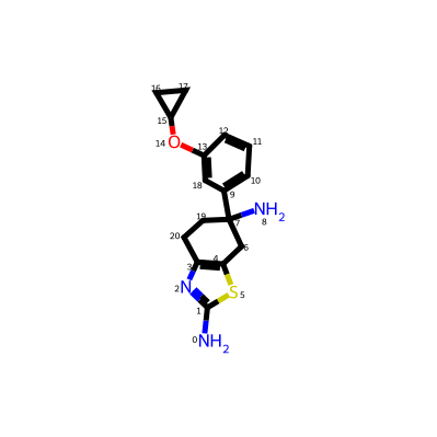 Nc1nc2c(s1)CC(N)(c1cccc(OC3CC3)c1)CC2